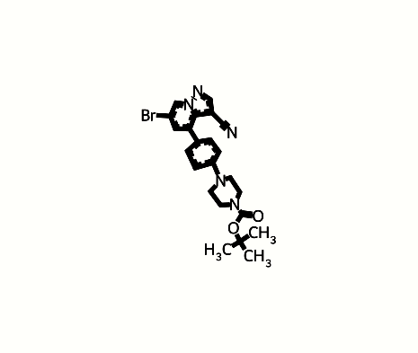 CC(C)(C)OC(=O)N1CCN(c2ccc(-c3cc(Br)cn4ncc(C#N)c34)cc2)CC1